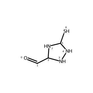 O=CC1NNC(S)N1